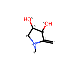 C=C1C(O)C(O)CN1C